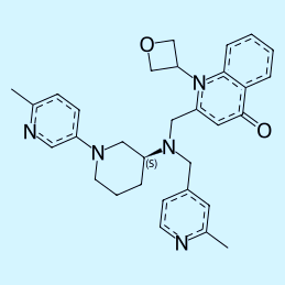 Cc1ccc(N2CCC[C@H](N(Cc3ccnc(C)c3)Cc3cc(=O)c4ccccc4n3C3COC3)C2)cn1